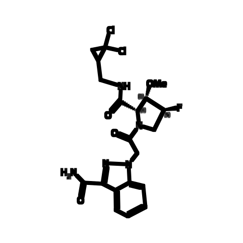 CO[C@H]1[C@@H](C(=O)NCC2CC2(Cl)Cl)N(C(=O)Cn2nc(C(N)=O)c3ccccc32)C[C@@H]1F